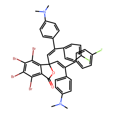 CN(C)c1ccc(C(=CC2(C=C(c3ccc(F)cc3)c3ccc(N(C)C)cc3)OC(=O)c3c(Br)c(Br)c(Br)c(Br)c32)c2ccc(F)cc2)cc1